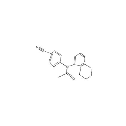 CC(=O)N(c1ccc(C#N)cc1)c1cccc2c1CCCC2